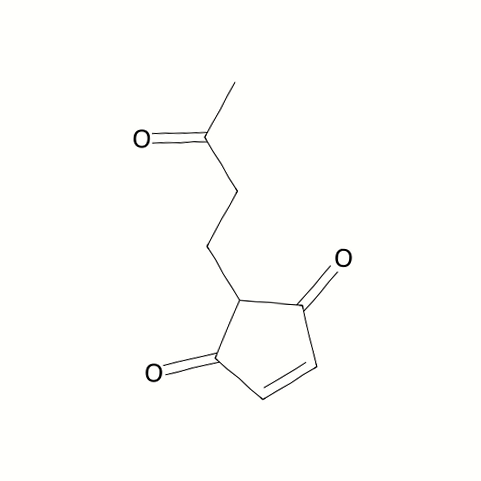 CC(=O)CCC1C(=O)C=CC1=O